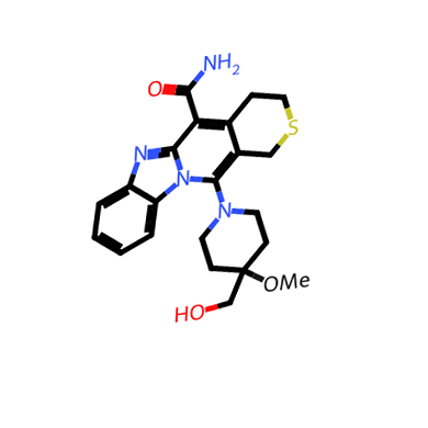 COC1(CO)CCN(c2c3c(c(C(N)=O)c4nc5ccccc5n24)CCSC3)CC1